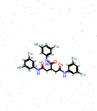 O=C(CC(CC(=O)Nc1cc(F)cc(F)c1)C(=O)Nc1cc(F)cc(F)c1)Nc1cc(F)cc(F)c1